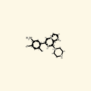 Cc1cc(F)c(N)cc1-c1cn2ccnc2c(N2CCOCC2)n1